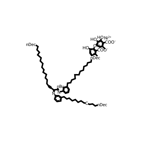 CCCCCCCCCCCCCCCCCCCCCCCCC#CC(=Nc1cccc(CCCCCCCCCCCCCCCCCCCCCC)c1)C(CCCC)=Nc1cccc(CCCCCCCCCCCCCCCCCCCCCC)c1.Cc1ccc(O)c(O)c1C(=O)[O-].Cc1ccc(O)c(O)c1C(=O)[O-].[Ni+2]